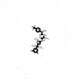 C[C@H](NC(=O)[C@@H](O)c1ccc(C(F)(F)F)cc1)C(=O)Nc1cc(C(C)(C)c2cc(F)cc(F)c2)nn1C